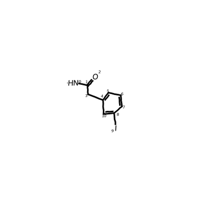 [NH]C(=O)Cc1cccc(I)c1